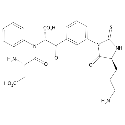 NCCC[C@@H]1NC(=S)N(c2cccc(C(=O)[C@@H](C(=O)O)N(C(=O)[C@@H](N)CC(=O)O)c3ccccc3)c2)C1=O